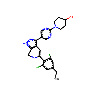 CNCc1cc(F)c(C2=Cc3c(-c4cnc(N5CCC(O)CC5)nc4)n[nH]c3CN2)c(F)c1